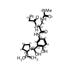 CNC(=O)NC[C@H](NC(=O)CC(C)C)C(=O)Nc1ccc(O)c(C(O)N2CCCC2N(C)C)c1